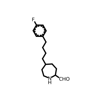 O=CC1CCC(CCCCc2ccc(F)cc2)CCN1